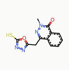 Cn1nc(Cc2nnc(S)o2)c2ccccc2c1=O